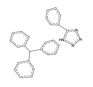 c1ccc(-c2nnn[nH]2)cc1.c1ccc(C(c2ccccc2)c2ccccc2)cc1